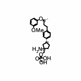 COc1cccc(O[C@H](C)CCc2ccc([C@@H]3CC[C@@](N)(COP(=O)(O)O)C3)cc2)c1